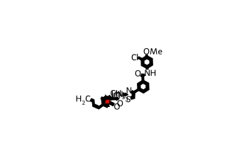 C=C/C=C\C1=CC2N(C)C(=O)C1CC2(C)C(=O)Nc1nc(-c2cccc(C(=O)Nc3ccc(OC)c(Cl)c3)c2)cs1